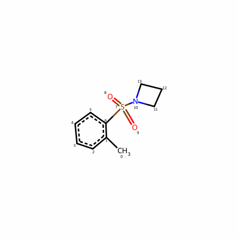 Cc1ccccc1S(=O)(=O)N1CCC1